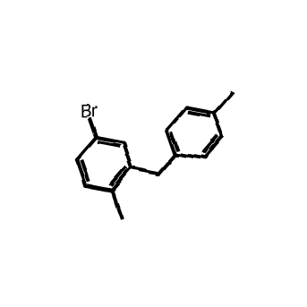 Cc1ccc(Cc2cc(Br)ccc2C)cc1